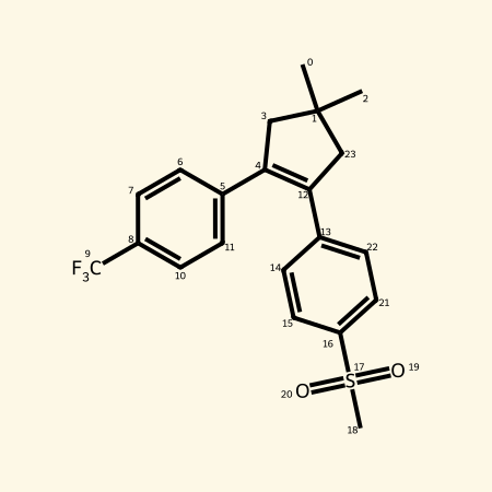 CC1(C)CC(c2ccc(C(F)(F)F)cc2)=C(c2ccc(S(C)(=O)=O)cc2)C1